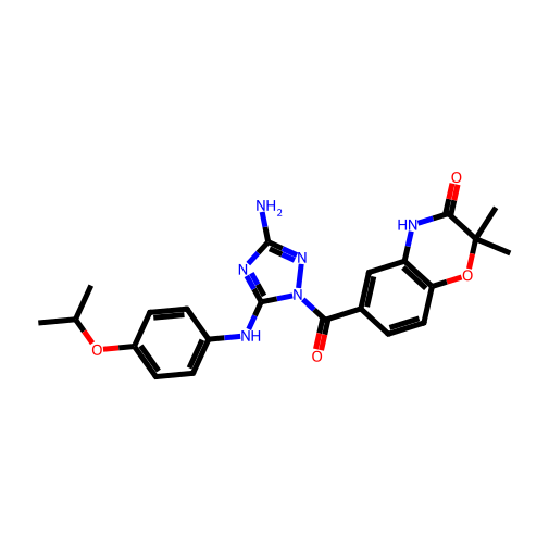 CC(C)Oc1ccc(Nc2nc(N)nn2C(=O)c2ccc3c(c2)NC(=O)C(C)(C)O3)cc1